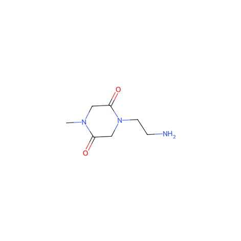 CN1CC(=O)N(CCN)CC1=O